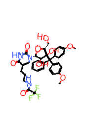 COc1ccc(C(c2ccccc2)(c2ccc(OC)cc2)[C@@]2(O)[C@@H](CO)O[C@@H](n3cc(CCCNC(=O)C(F)(F)F)c(=O)[nH]c3=O)[C@@H]2O)cc1